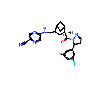 N#Cc1cnc(NCC2C[C@H](C(=O)N3N=CCC3c3cc(F)cc(F)c3)C3CC2C3)cn1